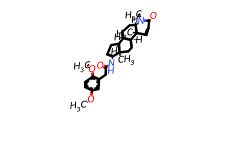 COc1ccc(OC)c(CC(=O)N[C@H]2CC[C@H]3[C@@H]4CC[C@H]5N(C)C(=O)C=C[C@]5(C)[C@H]4CC[C@]23C)c1